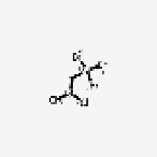 ClB(Cl)C[Si](Br)(Br)Br